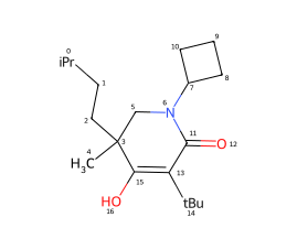 CC(C)CCC1(C)CN(C2CCC2)C(=O)C(C(C)(C)C)=C1O